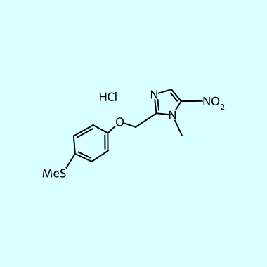 CSc1ccc(OCc2ncc([N+](=O)[O-])n2C)cc1.Cl